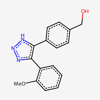 COc1ccccc1-c1nn[nH]c1-c1ccc(CO)cc1